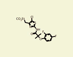 CCOC(=O)Cc1nc(NC(=O)C(C)(C)Oc2ccc(F)cc2F)sc1Cl